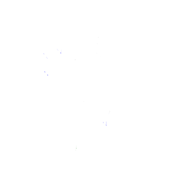 Fc1cc(C2=N[N]N=C2c2ccccc2)ccn1